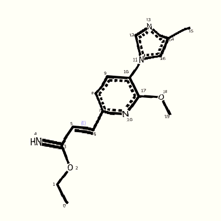 CCOC(=N)/C=C/c1ccc(-n2cnc(C)c2)c(OC)n1